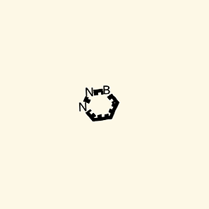 b1cccnn1